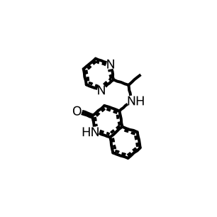 CC(Nc1cc(=O)[nH]c2ccccc12)c1ncccn1